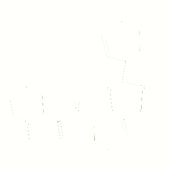 CN1CCCCC1C(=O)Nc1cccc2c(=O)n(C)c(-c3cccc(C(F)(F)F)c3)nc12